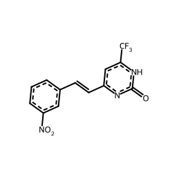 O=c1nc(C=Cc2cccc([N+](=O)[O-])c2)cc(C(F)(F)F)[nH]1